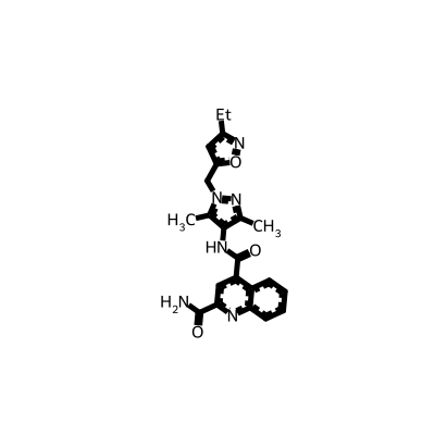 CCc1cc(Cn2nc(C)c(NC(=O)c3cc(C(N)=O)nc4ccccc34)c2C)on1